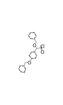 O=C(Cl)C(OCc1ccccc1)c1ccc(OCc2ccccc2)cc1